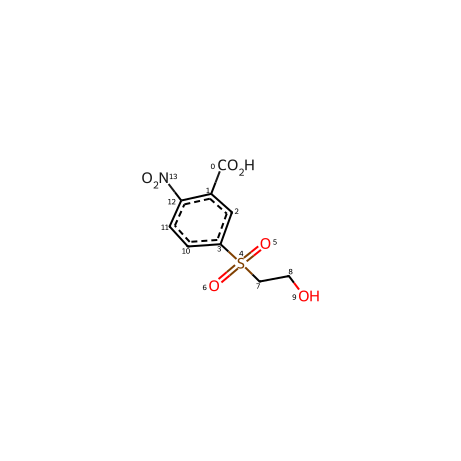 O=C(O)c1cc(S(=O)(=O)CCO)ccc1[N+](=O)[O-]